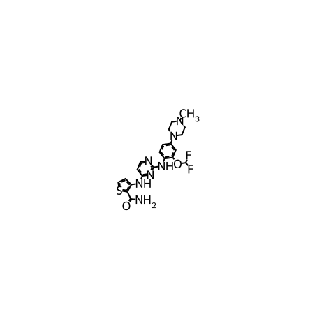 CN1CCN(c2ccc(Nc3nccc(Nc4ccsc4C(N)=O)n3)c(OC(F)F)c2)CC1